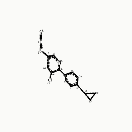 S=C=Nc1cnc(-c2ccc(C3CC3)cc2)c(Cl)c1